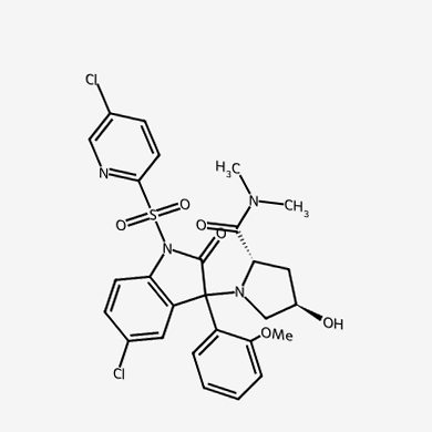 COc1ccccc1C1(N2C[C@H](O)C[C@H]2C(=O)N(C)C)C(=O)N(S(=O)(=O)c2ccc(Cl)cn2)c2ccc(Cl)cc21